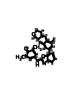 Cc1cc(Nc2nc3cccc(-c4cc(F)c(CN5CCOCC5)c(F)c4)c3o2)cn(C)c1=O